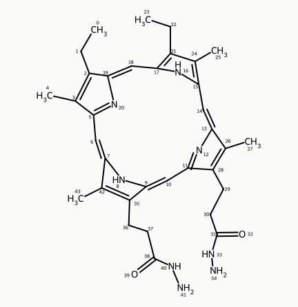 CCC1=C(C)c2cc3[nH]c(cc4nc(cc5[nH]c(cc1n2)c(CC)c5C)C(C)=C4CCC(=O)NN)c(CCC(=O)NN)c3C